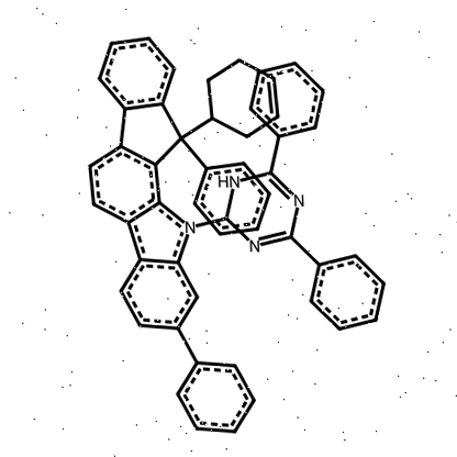 C1=CCC(C2(c3ccccc3)c3ccccc3-c3ccc4c5ccc(-c6ccccc6)cc5n(C5N=C(c6ccccc6)N=C(c6ccccc6)N5)c4c32)CC1